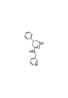 O=C(CC(CS)c1ccccc1)NCc1cccnc1